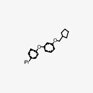 CC(C)c1ccc(Oc2cccc(OCC3CCCC3)c2)cc1